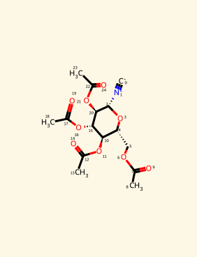 [C-]#[N+][C@@H]1O[C@H](COC(C)=O)[C@@H](OC(C)=O)[C@H](OC(C)=O)[C@H]1OC(C)=O